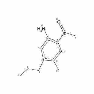 CCCc1cc(N)c(C(C)=O)cc1C